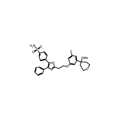 COC1(c2cc(F)cc(OCCc3nc(-c4ccccc4)c(-c4ccc(S(N)(=O)=O)cc4)o3)c2)CCOCC1